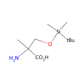 CC(N)(CO[Si](C)(C)C(C)(C)C)C(=O)O